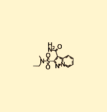 CCN(C)S(=O)(=O)c1nn2ccccc2c1C(N)=O